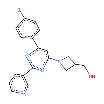 OCC1CN(c2cc(-c3ccc(Cl)cc3)nc(-c3cccnc3)n2)C1